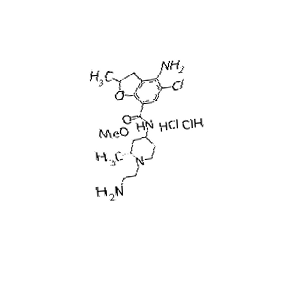 CO[C@@H]1C(NC(=O)c2cc(Cl)c(N)c3c2OC(C)C3)CCN(CCN)[C@@H]1C.Cl.Cl